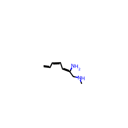 C=C/C=C\C=C(/N)CNC